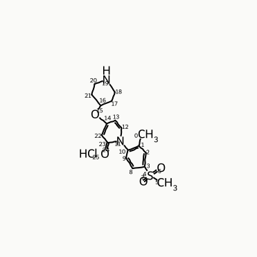 Cc1cc(S(C)(=O)=O)ccc1-n1ccc(OC2CCNCC2)cc1=O.Cl